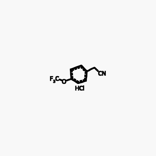 Cl.N#CCc1ccc(OC(F)(F)F)cc1